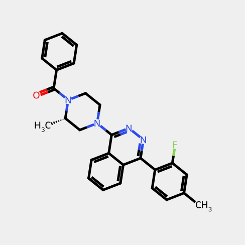 Cc1ccc(-c2nnc(N3CCN(C(=O)c4ccccc4)[C@@H](C)C3)c3ccccc23)c(F)c1